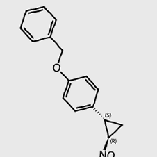 O=N[C@@H]1C[C@H]1c1ccc(OCc2ccccc2)cc1